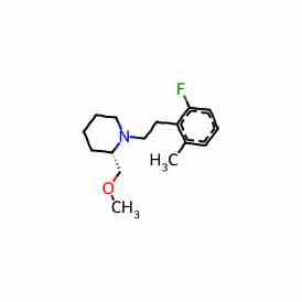 COC[C@@H]1CCCCN1CCc1c(C)cccc1F